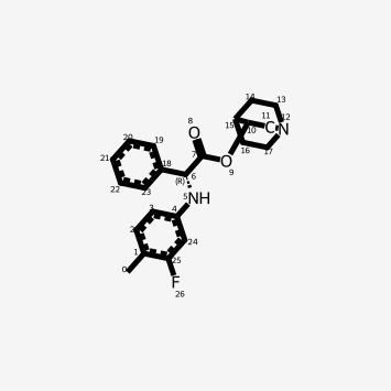 Cc1ccc(N[C@@H](C(=O)OC2CN3CCC2CC3)c2ccccc2)cc1F